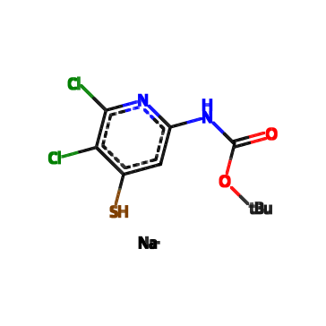 CC(C)(C)OC(=O)Nc1cc(S)c(Cl)c(Cl)n1.[Na]